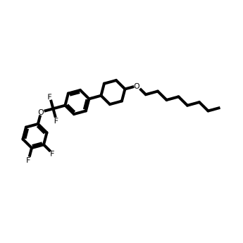 CCCCCCCCOC1CCC(c2ccc(C(F)(F)Oc3ccc(F)c(F)c3)cc2)CC1